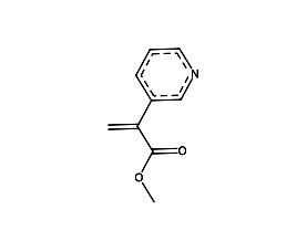 C=C(C(=O)OC)c1cccnc1